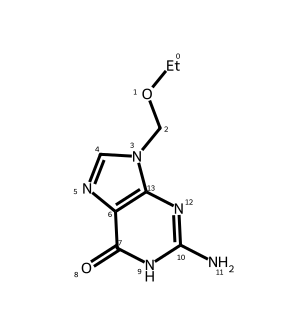 [CH2]COCn1cnc2c(=O)[nH]c(N)nc21